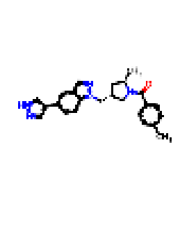 Cc1ccc(C(=O)N2C[C@H](Cn3ncc4cc(-c5cn[nH]c5)ccc43)C[C@H]2C)cc1